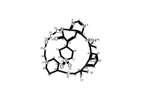 C[C@H]1Nc2ncnc3c2cc(C2CCS(=O)(=O)CC2)c(=O)n3CCOCCN2CCC(CC2)CCC(F)(F)c2cccc1c2F